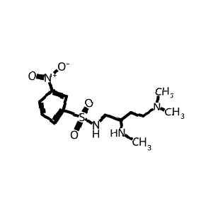 CNC(CCN(C)C)CNS(=O)(=O)c1cccc([N+](=O)[O-])c1